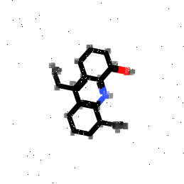 CC(=O)OC1CCCc2c1nc1c(c2CC(C)C)CCCC1=O